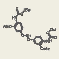 COc1cc(OBOc2ccc(NC(=O)OC(C)(C)C)c(OC)c2)ccc1NC(=O)OC(C)(C)C